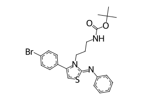 CC(C)(C)OC(=O)NCCCn1c(-c2ccc(Br)cc2)csc1=Nc1ccccc1